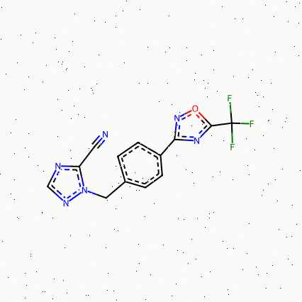 N#Cc1ncnn1Cc1ccc(-c2noc(C(F)(F)F)n2)cc1